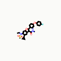 CCN(c1cc2oc(-c3ccc(Oc4ccc(F)cc4)cc3)c(C(=O)NC)c2cc1C1CC1)S(C)(=O)=O